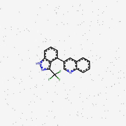 FC(F)(F)c1n[nH]c2cccc(-c3cnc4ccccc4c3)c12